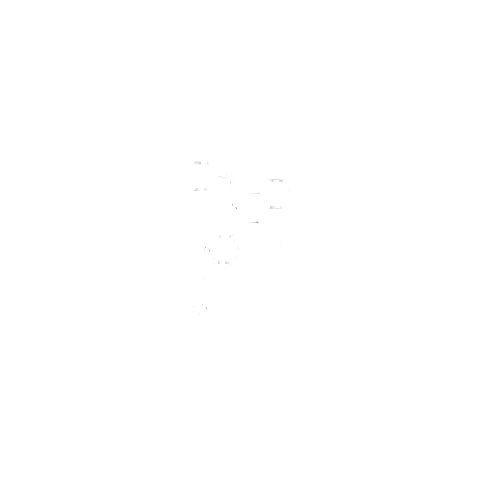 C[C@H](c1ccccc1)N(Cc1ccccc1)[C@@H](CC(=O)O)c1ccc(OCN)nc1